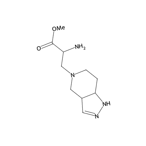 COC(=O)C(N)CN1CCC2NN=CC2C1